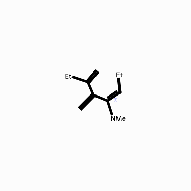 C=C(CC)C(=C)/C(=C\CC)NC